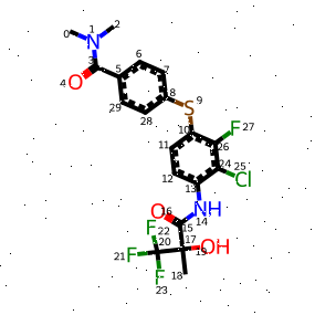 CN(C)C(=O)c1ccc(Sc2ccc(NC(=O)C(C)(O)C(F)(F)F)c(Cl)c2F)cc1